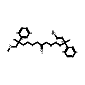 COCC(C)(CCCCC(=O)CCCCC(C)(CCO)c1ccccc1)c1ccccc1